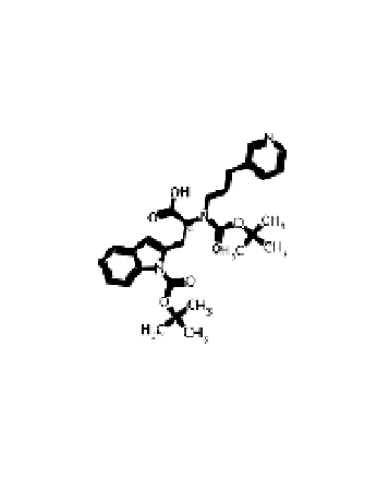 CC(C)(C)OC(=O)N(CCCc1cccnc1)[C@@H](Cc1cc2ccccc2n1C(=O)OC(C)(C)C)C(=O)O